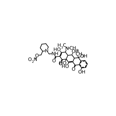 CN(C)C1C(O)=C(C(=O)NCN2CCCCC2CO[N+](=O)[O-])C(=O)C2(O)C(O)=C3C(=O)c4c(O)cccc4C(C)(O)C3[C@H](O)C12